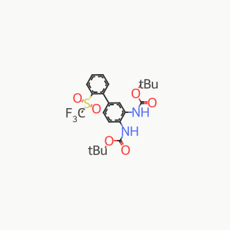 CC(C)(C)OC(=O)Nc1ccc(-c2ccccc2S(=O)(=O)C(F)(F)F)cc1NC(=O)OC(C)(C)C